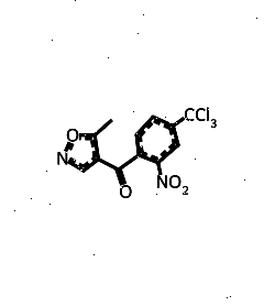 Cc1oncc1C(=O)c1ccc(C(Cl)(Cl)Cl)cc1[N+](=O)[O-]